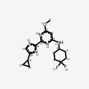 COc1cc(NC2CCC(F)(F)CC2)nc(-c2nc(C3CC3)cs2)n1